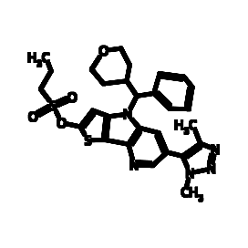 CCCS(=O)(=O)Oc1cc2c(s1)c1ncc(-c3c(C)nnn3C)cc1n2C(c1ccccc1)C1CCOCC1